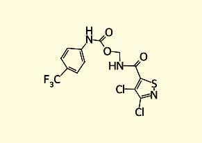 O=C(Nc1ccc(C(F)(F)F)cc1)OCNC(=O)c1snc(Cl)c1Cl